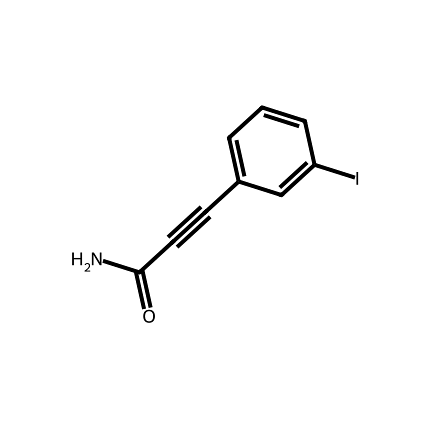 NC(=O)C#Cc1cccc(I)c1